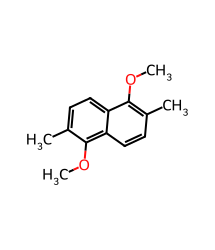 COc1c(C)ccc2c(OC)c(C)ccc12